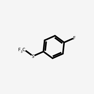 Fc1ccc(SC(F)(F)F)cc1